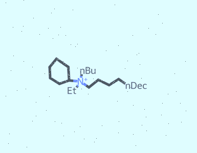 CCCCCCCCCCCCCC[N+](CC)(CCCC)C1CCCCC1